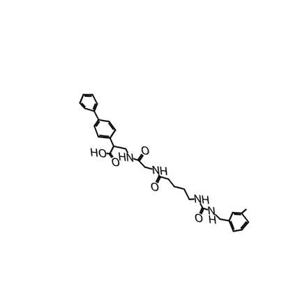 Cc1cccc(CNC(=O)NCCCCC(=O)NCC(=O)NCC(C(=O)O)c2ccc(-c3ccccc3)cc2)c1